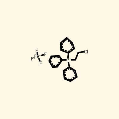 ClCC[P+](c1ccccc1)(c1ccccc1)c1ccccc1.[F][Fe-]([F])([F])[F]